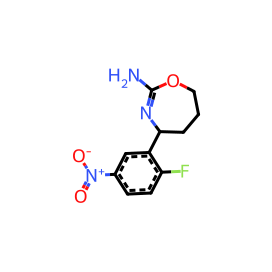 NC1=NC(c2cc([N+](=O)[O-])ccc2F)CCCO1